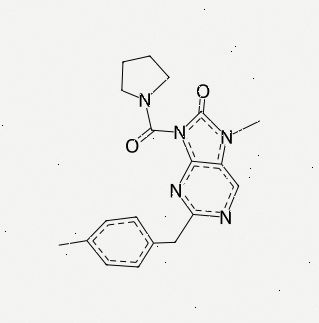 Cc1ccc(Cc2ncc3c(n2)n(C(=O)N2CCCC2)c(=O)n3C)cc1